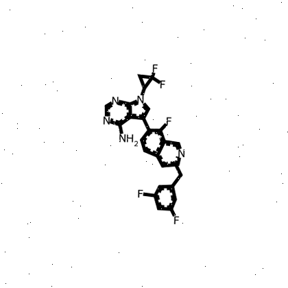 Nc1ncnc2c1c(-c1ccc3cc(Cc4cc(F)cc(F)c4)ncc3c1F)cn2C1CC1(F)F